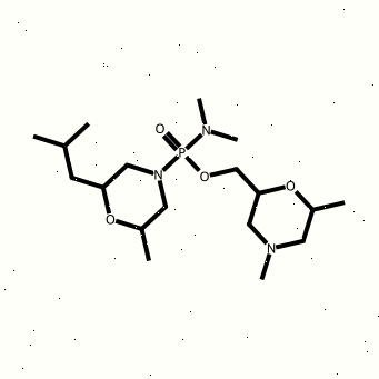 CC(C)CC1CN(P(=O)(OCC2CN(C)CC(C)O2)N(C)C)CC(C)O1